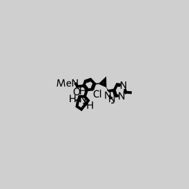 CNC(=O)c1ccc([C@H]2C[C@@H]2c2nn(C)c3nc(C)ncc23)c(Cl)c1C1C[C@H]2CC[C@@H](C1)N2